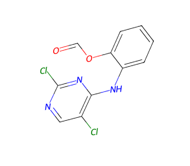 O=COc1ccccc1Nc1nc(Cl)ncc1Cl